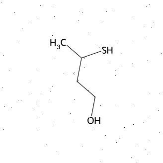 C[C](S)CCO